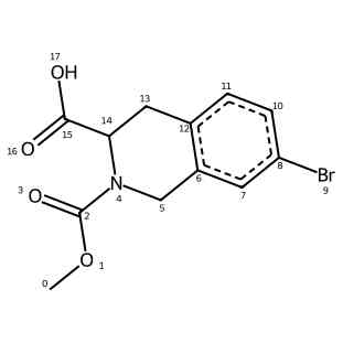 COC(=O)N1Cc2cc(Br)ccc2CC1C(=O)O